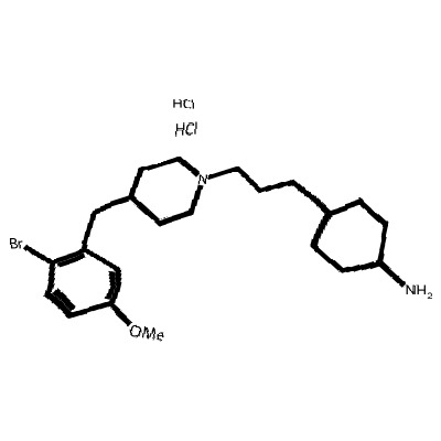 COc1ccc(Br)c(CC2CCN(CCCC3CCC(N)CC3)CC2)c1.Cl.Cl